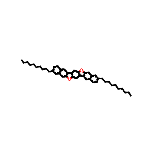 CCCCCCCCCCc1ccc2cc3c(cc2c1)oc1cc2c(cc13)oc1cc3cc(CCCCCCCCCC)ccc3cc12